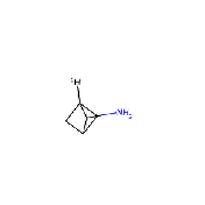 [2H]C12CC(C1)C2N